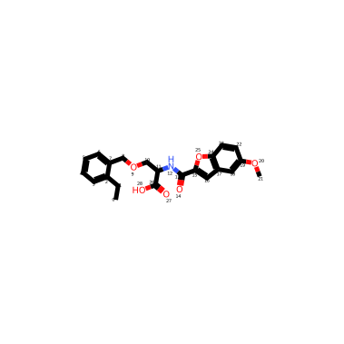 CCc1ccccc1COCC(NC(=O)c1cc2cc(OC)ccc2o1)C(=O)O